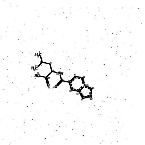 CC(C)CC(NC(=O)c1ccn2cncc2c1)C(=O)O